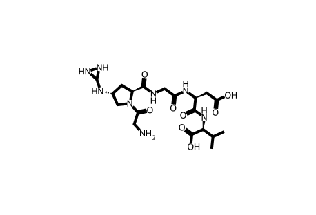 CC(C)[C@H](NC(=O)[C@H](CC(=O)O)NC(=O)CNC(=O)[C@@H]1C[C@@H](NC2NN2)CN1C(=O)CN)C(=O)O